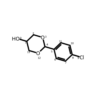 OC1COC(c2ccc(Cl)cc2)OC1